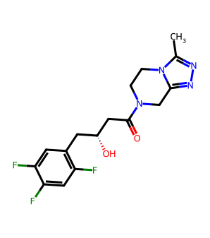 Cc1nnc2n1CCN(C(=O)C[C@H](O)Cc1cc(F)c(F)cc1F)C2